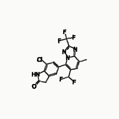 Cc1cc(C(F)F)c(-c2cc(Cl)c3c(c2)CC(=O)N3)n2nc(C(F)(F)F)nc12